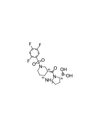 N[C@@H]1CCN(S(=O)(=O)c2cc(F)c(F)cc2F)C[C@H]1C(=O)N1CCC[C@H]1B(O)O